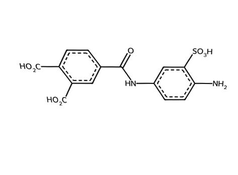 Nc1ccc(NC(=O)c2ccc(C(=O)O)c(C(=O)O)c2)cc1S(=O)(=O)O